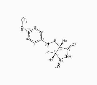 O=C1NC(=O)[C@@H]2CN(c3ccc(OC(F)(F)F)cc3)C[C@H]12